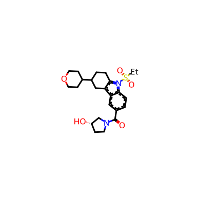 CCS(=O)(=O)n1c2c(c3cc(C(=O)N4CC[C@H](O)C4)ccc31)CC(C1CCOCC1)CC2